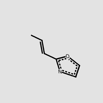 C/C=C/c1ncco1